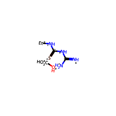 CCNC(=S)NC(=N)N.O=C(O)O